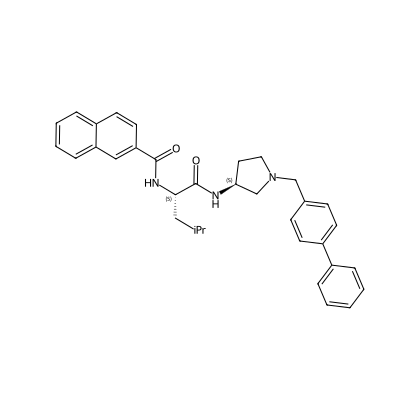 CC(C)C[C@H](NC(=O)c1ccc2ccccc2c1)C(=O)N[C@H]1CCN(Cc2ccc(-c3ccccc3)cc2)C1